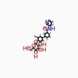 Cc1cc(-c2cccc(C(=O)Nc3cccnc3)c2)ccc1OC1OC(CO)C(O)C(O)C1O